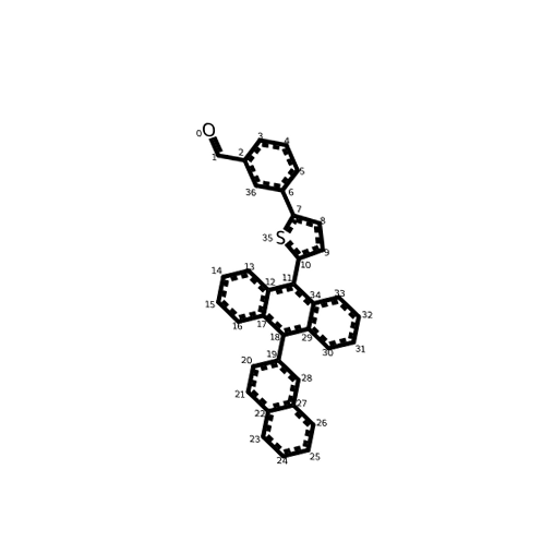 O=Cc1cccc(-c2ccc(-c3c4ccccc4c(-c4ccc5ccccc5c4)c4ccccc34)s2)c1